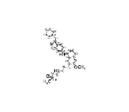 COc1cc2ncnc(Nc3ccc4c(cnn4Cc4ccccc4)c3)c2cc1CCCNCCS(C)(=O)=O